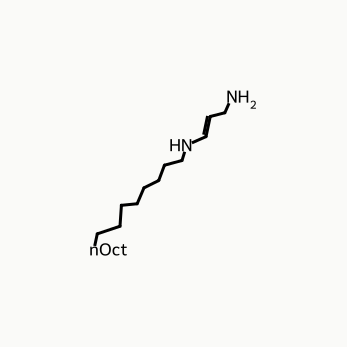 CCCCCCCCCCCCCCCCNC=CCN